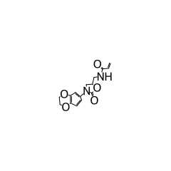 C=CC(=O)NCC1CN(c2ccc3c(c2)OCCO3)C(=O)O1